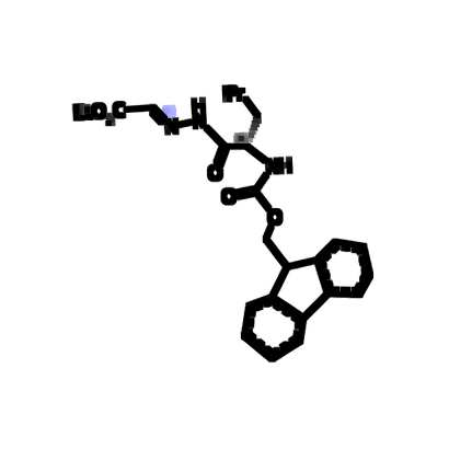 CCOC(=O)/C=N/NC(=O)[C@H](CC(C)C)NC(=O)OCC1c2ccccc2-c2ccccc21